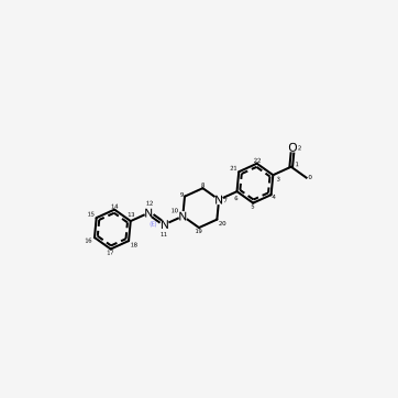 CC(=O)c1ccc(N2CCN(/N=N/c3ccccc3)CC2)cc1